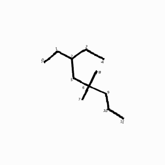 [CH2]CC(CC)CC(C)(C)CCC